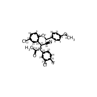 COc1ccc(COc2ccc(Cl)cc2C(C#N)N(C(C)=O)c2ccc(F)c(Cl)c2)cc1